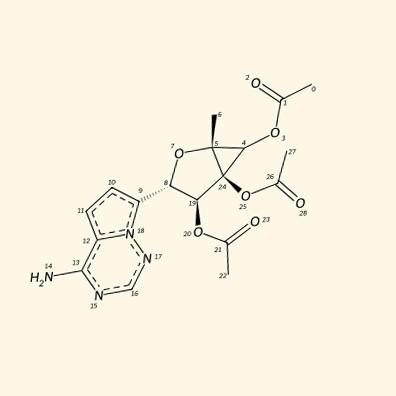 CC(=O)OC1[C@@]2(C)O[C@@H](c3ccc4c(N)ncnn34)[C@H](OC(C)=O)[C@@]12OC(C)=O